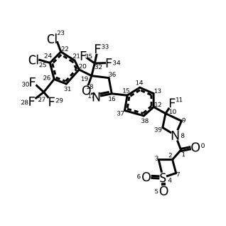 O=C(C1CS(=O)(=O)C1)N1CC(F)(c2ccc(C3=NOC(c4cc(Cl)c(Cl)c(C(F)(F)F)c4)(C(F)(F)F)C3)cc2)C1